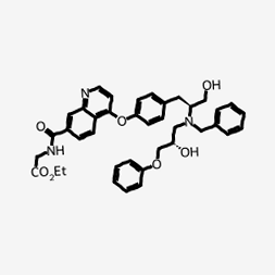 CCOC(=O)CNC(=O)c1ccc2c(Oc3ccc(C[C@@H](CO)N(Cc4ccccc4)C[C@H](O)COc4ccccc4)cc3)ccnc2c1